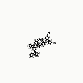 N#Cc1ccc2c(c1)c1cc(C#N)ccc1n2-c1cnc2c(c1)C1(c3ccccc3Oc3ccc(-n4c5ccccc5c5cc(-n6c7ccccc7c7ccncc76)ccc54)cc31)c1cccnc1-2